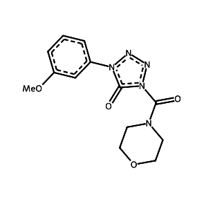 COc1cccc(-n2nnn(C(=O)N3CCOCC3)c2=O)c1